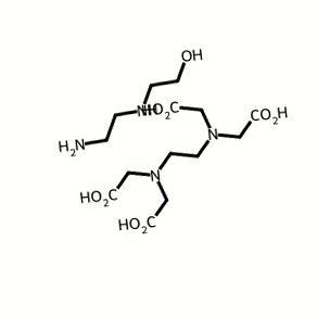 NCCNCCO.O=C(O)CN(CCN(CC(=O)O)CC(=O)O)CC(=O)O